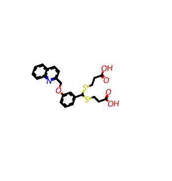 O=C(O)CCSC(SCCC(=O)O)c1cccc(OCc2ccc3ccccc3n2)c1